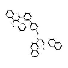 C=N/C(=C\C(=N/Cc1ccc(-c2cccc(-c3nc4ccccc4c(N=C)c3N3C=CC=CC3)c2)cc1)c1ccc2ccccc2c1)c1ccc2ccccc2c1